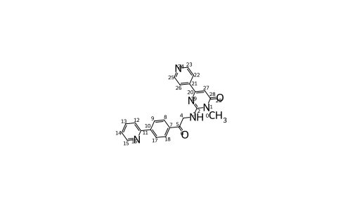 Cn1c(NCC(=O)c2ccc(-c3ccccn3)cc2)nc(-c2ccncc2)cc1=O